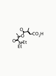 CCN(CC)C(=O)[C@@H](C)OC(=O)C(C)=CC(=O)O